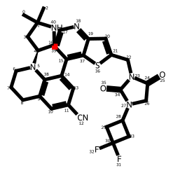 CC1(C)C[C@H](N2CCCc3cc(C#N)cc(-c4ccnc5cc(CN6C(=O)CN(C7CC(F)(F)C7)C6=O)sc45)c32)CN1